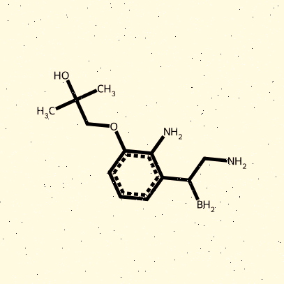 BC(CN)c1cccc(OCC(C)(C)O)c1N